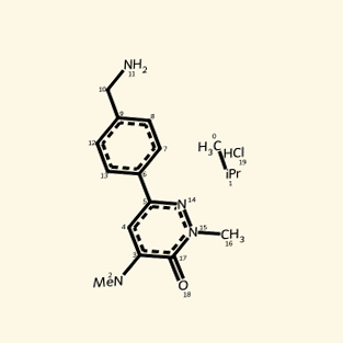 CC(C)C.CNc1cc(-c2ccc(CN)cc2)nn(C)c1=O.Cl